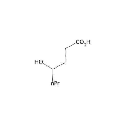 CCCC(O)CCC(=O)O